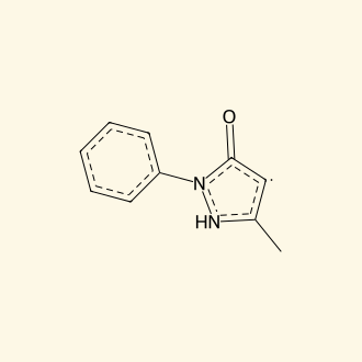 Cc1[c]c(=O)n(-c2ccccc2)[nH]1